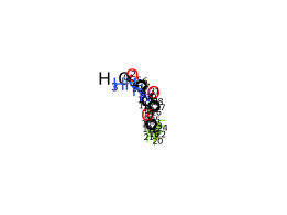 CC(=O)Nc1cccc(N2CCc3c(Oc4ccc(C(F)(F)F)c(F)c4)cccc3C2=O)n1